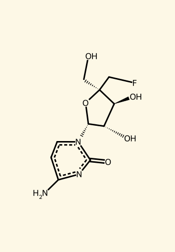 Nc1ccn([C@@H]2O[C@@](CO)(CF)[C@@H](O)[C@@H]2O)c(=O)n1